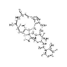 COc1ccc2c(Cl)c1OC1c3ccc(cc3C3=CCC(O)C31OC1OCC(NC(=O)c3c(C)ccc(C)c3O)C(C)(O)C1O)C(O)CNC(=O)/C=C/2